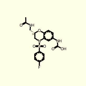 CC(=O)NC[C@H]1CN(S(=O)(=O)c2ccc(F)cc2)c2cc(NC(=O)O)ccc2O1